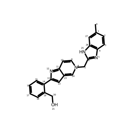 Cc1ccc2nc(Cn3ccc4nc(-c5ccccc5CO)cc-4c3)[nH]c2c1